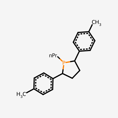 CCCP1C(c2ccc(C)cc2)CCC1c1ccc(C)cc1